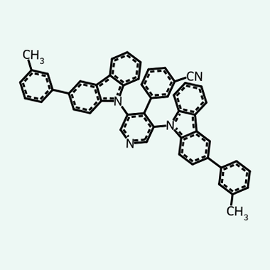 Cc1cccc(-c2ccc3c(c2)c2ccccc2n3-c2cncc(-n3c4ccccc4c4cc(-c5cccc(C)c5)ccc43)c2-c2cccc(C#N)c2)c1